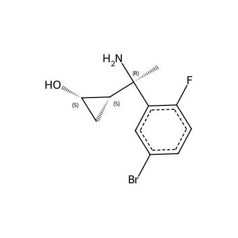 C[C@](N)(c1cc(Br)ccc1F)[C@@H]1C[C@@H]1O